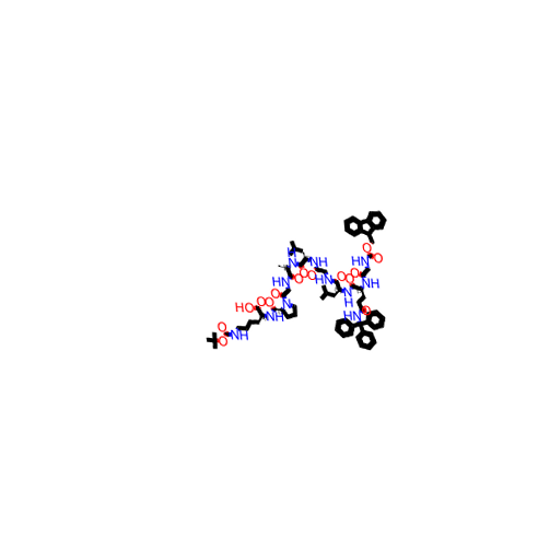 CC(C)C[C@H](NC(=O)CNC(=O)[C@H](CC(C)C)NC(=O)[C@H](CCC(=O)NC(c1ccccc1)(c1ccccc1)c1ccccc1)NC(=O)CNC(=O)OCC1c2ccccc2-c2ccccc21)C(=O)N[C@@H](C)C(=O)NCC(=O)N1CCC[C@H]1C(=O)N[C@@H](CCCCNC(=O)OC(C)(C)C)C(=O)O